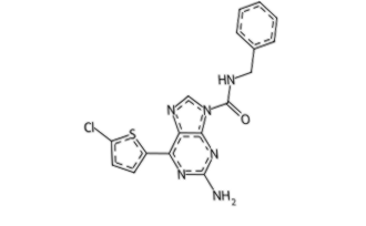 Nc1nc(-c2ccc(Cl)s2)c2ncn(C(=O)NCc3ccccc3)c2n1